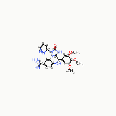 COc1cc(C(Nc2ccc(C(=N)N)cc2)c2nn(-c3cccnn3)c(=O)[nH]2)cc(OC)c1OC